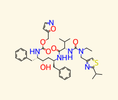 CCN(Cc1csc(C(C)C)n1)C(=O)N[C@H](C(=O)N[C@@H](Cc1ccccc1)C[C@H](O)[C@H](Cc1ccccc1)NC(=O)OCc1ccno1)C(C)C